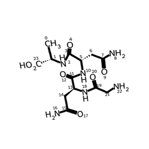 C[C@H](NC(=O)[C@H](CC(N)=O)NC(=O)[C@H](CC(N)=O)NC(=O)CN)C(=O)O